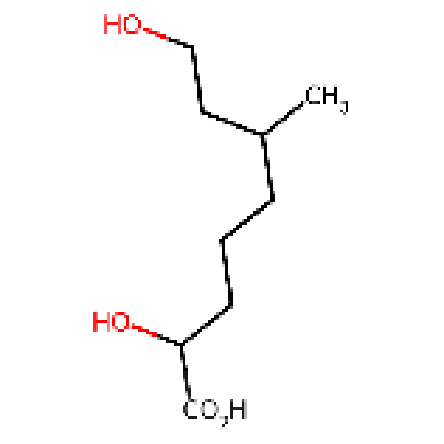 CC(CCO)CCCC(O)C(=O)O